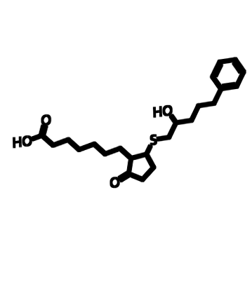 O=C(O)CCCCCCC1C(=O)CCC1SCC(O)CCCc1ccccc1